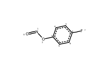 O=NOc1ccc(F)cc1